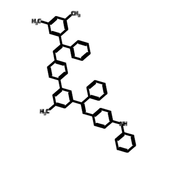 Cc1cc(C)cc(C(=Cc2ccc(-c3cc(C)cc(C(=Cc4ccc(Nc5ccccc5)cc4)c4ccccc4)c3)cc2)c2ccccc2)c1